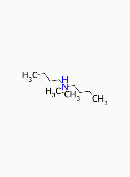 CC.CCCCNCCCC